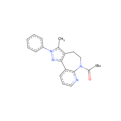 Cc1c2c(nn1-c1ccccc1)-c1cccnc1N(C(=O)C(C)(C)C)CC2